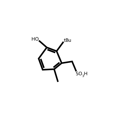 Cc1ccc(O)c(C(C)(C)C)c1CS(=O)(=O)O